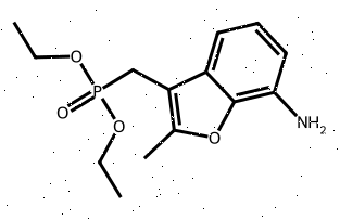 CCOP(=O)(Cc1c(C)oc2c(N)cccc12)OCC